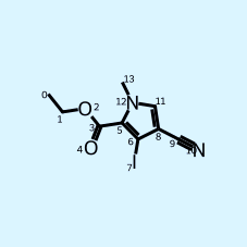 CCOC(=O)c1c(I)c(C#N)cn1C